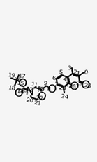 Cc1c(C)c2ccc(OC[C@@H]3CN(C(=O)OC(C)(C)C)CCO3)c(C)c2oc1=O